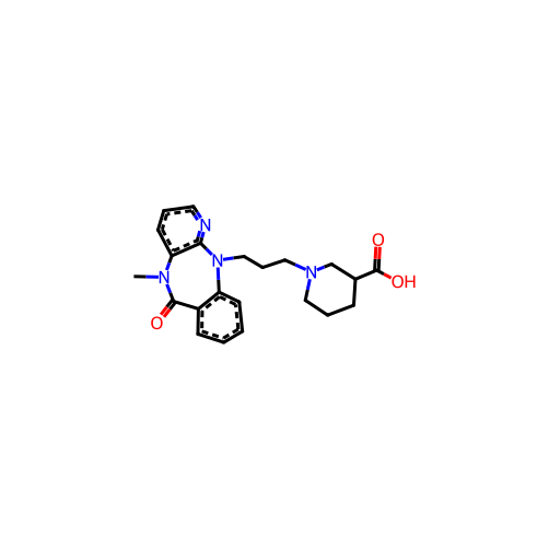 CN1C(=O)c2ccccc2N(CCCN2CCCC(C(=O)O)C2)c2ncccc21